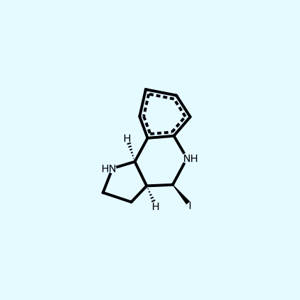 I[C@@H]1Nc2ccccc2[C@@H]2NCC[C@H]12